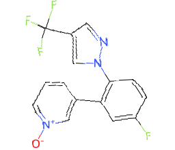 [O-][n+]1cccc(-c2cc(F)ccc2-n2cc(C(F)(F)F)cn2)c1